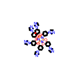 c1cn(-c2ccc(ON3P(Oc4ccc(-n5ccnc5)cc4)N=P(Oc4ccc(-n5ccnc5)cc4)(Oc4ccc(-n5ccnc5)cc4)N(Oc4ccc(-n5ccnc5)cc4)P3Oc3ccc(-n4ccnc4)cc3)cc2)cn1